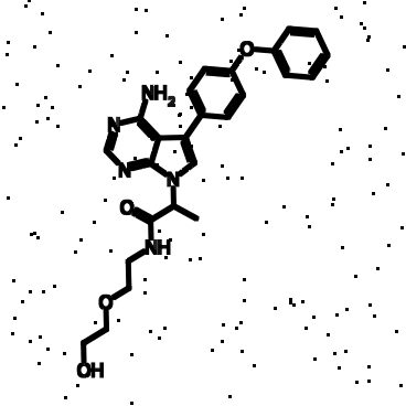 CC(C(=O)NCCOCCO)n1cc(-c2ccc(Oc3ccccc3)cc2)c2c(N)ncnc21